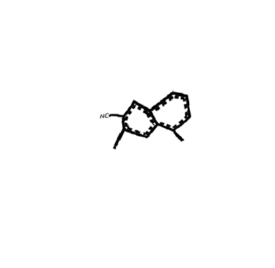 Cc1cc2c(C)cccc2cc1C#N